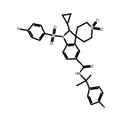 CC(C)(NC(=O)c1ccc2c(c1)C1(CCS(=O)(=O)CC1)C(C1CC1)N2S(=O)(=O)c1ccc(F)cc1)c1ccc(F)cc1